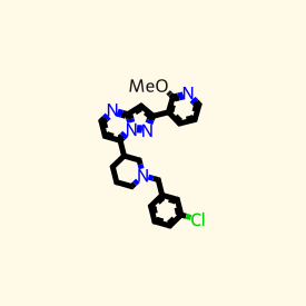 COc1ncccc1-c1cc2nccc(C3CCCN(Cc4cccc(Cl)c4)C3)n2n1